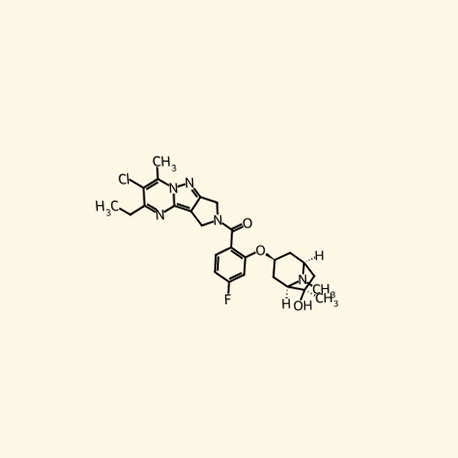 CCc1nc2c3c(nn2c(C)c1Cl)CN(C(=O)c1ccc(F)cc1O[C@H]1C[C@H]2C[C@@](C)(O)[C@@H](C1)N2C)C3